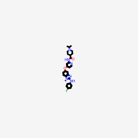 CC(C)N1CCC(C(=O)Nc2cc(Oc3ccc4c(c3)nc(Nc3ccc(F)cc3)n4C)ccn2)CC1